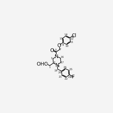 O=CCC1CN(C(=O)COc2ccc(Cl)cc2)CCN1Cc1ccc(F)cc1